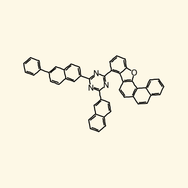 c1ccc(-c2ccc3cc(-c4nc(-c5ccc6ccccc6c5)nc(-c5cccc6oc7c(ccc8ccc9ccccc9c87)c56)n4)ccc3c2)cc1